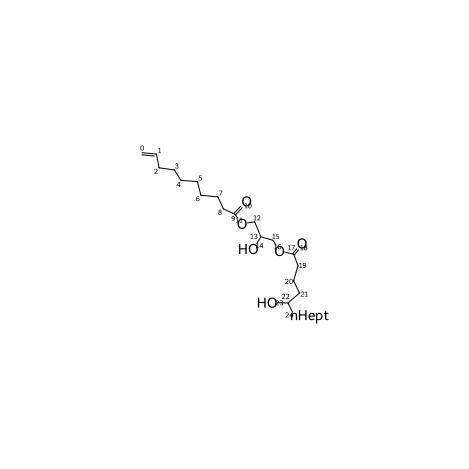 C=CCCCCCCCC(=O)OCC(O)COC(=O)CCCC(O)CCCCCCC